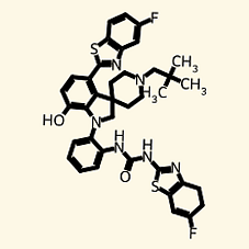 CC(C)(C)CN1CCC2(CC1)CN(c1ccccc1NC(=O)Nc1nc3c(s1)C=C(F)CC3)c1c(O)ccc(-c3nc4cc(F)ccc4s3)c12